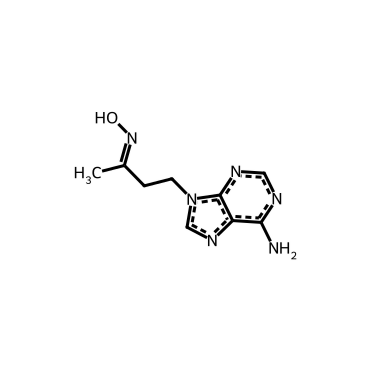 CC(CCn1cnc2c(N)ncnc21)=NO